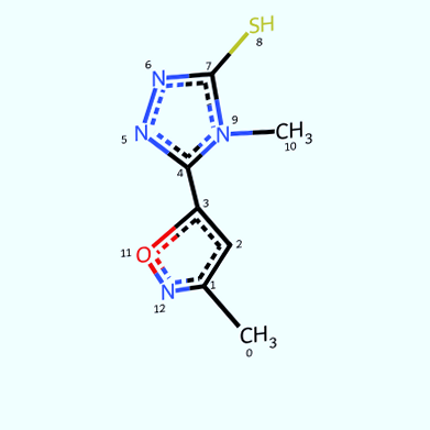 Cc1cc(-c2nnc(S)n2C)on1